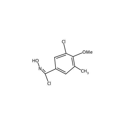 COc1c(C)cc(/C(Cl)=N\O)cc1Cl